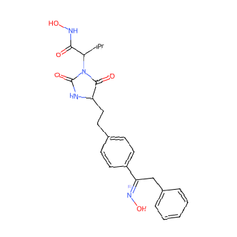 CC(C)C(C(=O)NO)N1C(=O)NC(CCc2ccc(/C(Cc3ccccc3)=N/O)cc2)C1=O